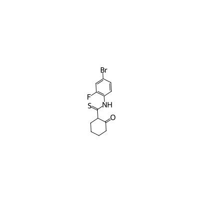 O=C1CCCCC1C(=S)Nc1ccc(Br)cc1F